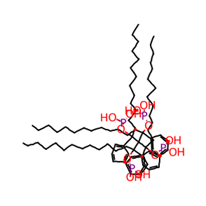 CCCCCCCCCCCCCC(OP(O)O)(c1ccccc1)C(C(CCCCCCCCCCCCC)(OP(O)O)c1ccccc1)(C(CCCCCCCCCCCCC)(OP(O)O)c1ccccc1)C(CCCCCCCCCCCCC)(OP(O)O)c1ccccc1